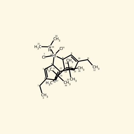 CCC1=C[CH]([Hf]([Cl])([Cl])([CH]2C=C(CC)C=C2C(C)(C)C)[SiH](C)C)C(C(C)(C)C)=C1